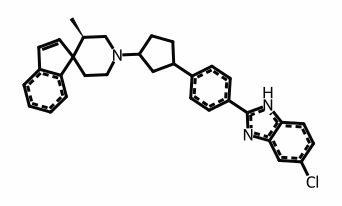 C[C@H]1CN(C2CCC(c3ccc(-c4nc5cc(Cl)ccc5[nH]4)cc3)C2)CCC12C=Cc1ccccc12